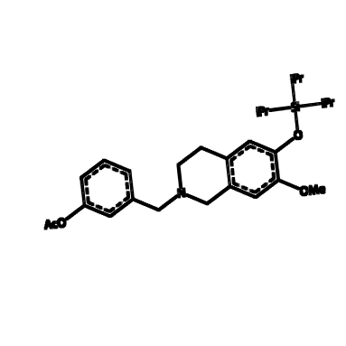 COc1cc2c(cc1O[Si](C(C)C)(C(C)C)C(C)C)CCN(Cc1cccc(OC(C)=O)c1)C2